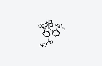 Cl.Cl.Nc1ccccc1N.O=C(O)c1ccc(C(=O)O)cc1